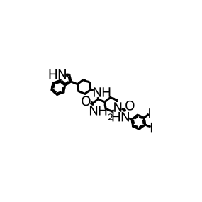 NC(=O)C(NC1CCC(c2c[nH]c3ccccc23)CC1)C1CCN(C(=O)Nc2ccc(I)c(I)c2)CC1